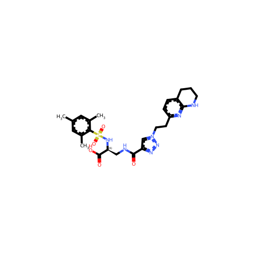 Cc1cc(C)c(S(=O)(=O)N[C@@H](CNC(=O)c2cn(CCc3ccc4c(n3)NCCC4)nn2)C(=O)O)c(C)c1